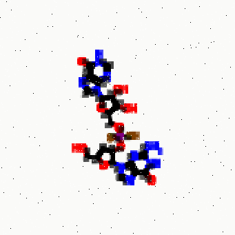 Nc1nc2c(ncn2[C@@H]2O[C@H](CO)C[C@H]2O[P@](=S)(S)OC[C@H]2O[C@@H](n3cnc4c(=O)[nH]cnc43)[C@H](O)[C@@H]2O)c(=O)[nH]1